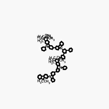 CC1(C)c2ccccc2-c2ccc(-n3c4ccccc4c4cc(-c5ccc6c(c5)c5cc7c(cc5n6-c5ccccc5)C(C)(Cc5cccc(-c6cc(-c8ccccc8)cc(-n8c9ccccc9c9cc(-c%10ccc%11c(c%10)c%10cc%12c(cc%10n%11-c%10ccccc%10)C(C)(C)C(C)(C)C%12(C)C)ccc98)c6)c5)C(C)(C)C7(C)C)ccc43)cc21